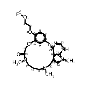 CCOCCOc1ccc2cc1OCC(=O)N(C)CCCN(C)Cc1cn(C)c3c1/C(=N\2)N=CN3